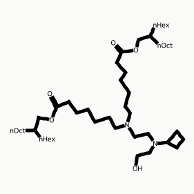 CCCCCCCCC(CCCCCC)COC(=O)CCCCCCN(CCCCCCC(=O)OCC(CCCCCC)CCCCCCCC)CCN(CCO)C1CCC1